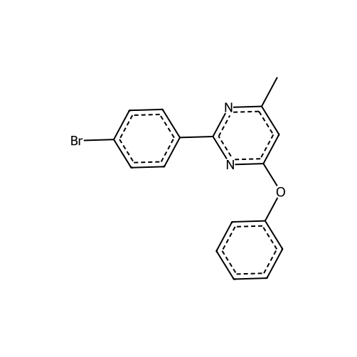 Cc1cc(Oc2ccccc2)nc(-c2ccc(Br)cc2)n1